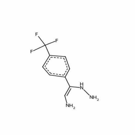 N/C=C(\NN)c1ccc(C(F)(F)F)cc1